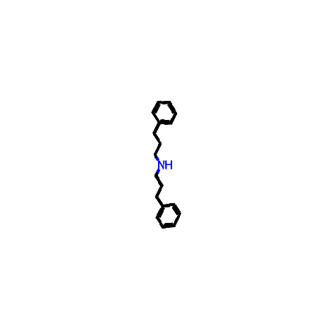 c1ccc(CCCNCCCc2ccccc2)cc1